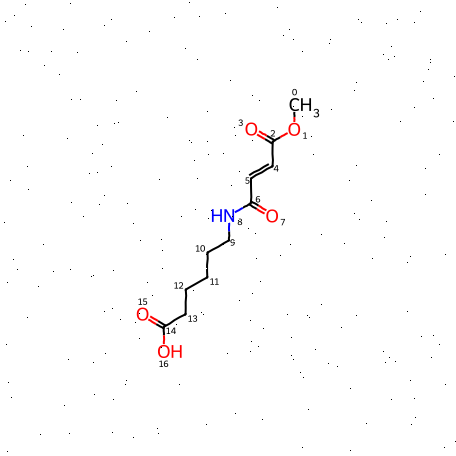 COC(=O)/C=C/C(=O)NCCCCCC(=O)O